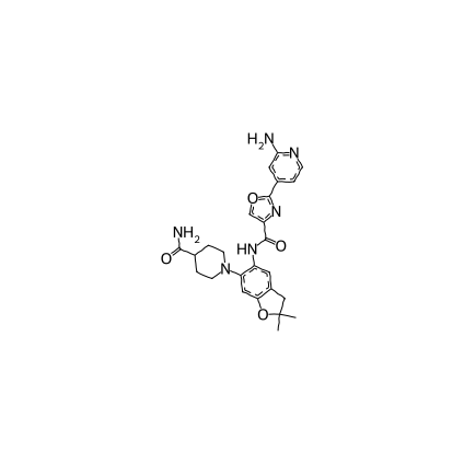 CC1(C)Cc2cc(NC(=O)c3coc(-c4ccnc(N)c4)n3)c(N3CCC(C(N)=O)CC3)cc2O1